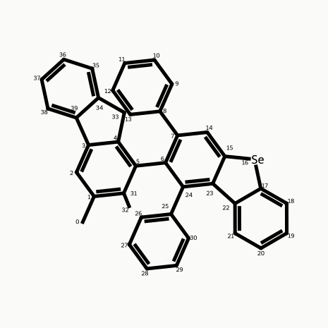 Cc1cc2c(c(-c3c(-c4ccccc4)cc4[se]c5ccccc5c4c3-c3ccccc3)c1C)Cc1ccccc1-2